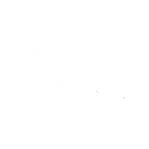 CN=c1c2c(N3CCNCC3)c(F)cc3c(=O)c(C(=O)O)c4scc1n4c32